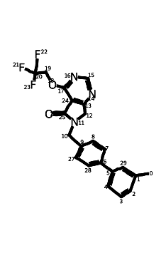 Cc1cccc(-c2ccc(CN3Cc4ncnc(OCC(F)(F)F)c4C3=O)cc2)c1